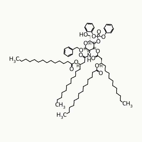 CCCCCCCCCCCCCC(=O)O[C@H](CCCCCCCCCCC)CC(=O)N[C@H]1[C@H](OCc2ccccc2)O[C@H](CO)[C@@H](OP(=O)(Oc2ccccc2)Oc2ccccc2)[C@@H]1OC(=O)C[C@@H](CCCCCCCCCCC)OC(=O)CCCCCCCCCCCCC